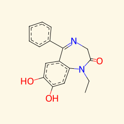 CCN1C(=O)CN=C(c2ccccc2)c2cc(O)c(O)cc21